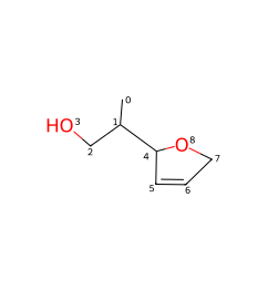 CC(CO)C1C=CCO1